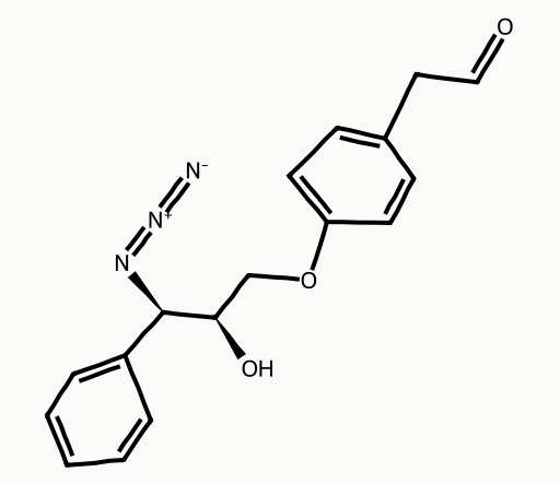 [N-]=[N+]=N[C@H](c1ccccc1)[C@H](O)COc1ccc(CC=O)cc1